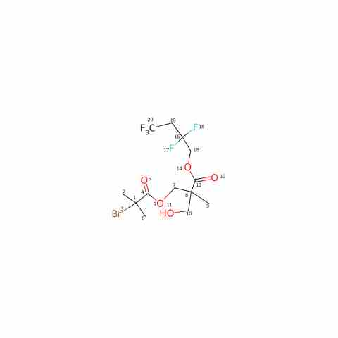 CC(C)(Br)C(=O)OCC(C)(CO)C(=O)OCC(F)(F)CC(F)(F)F